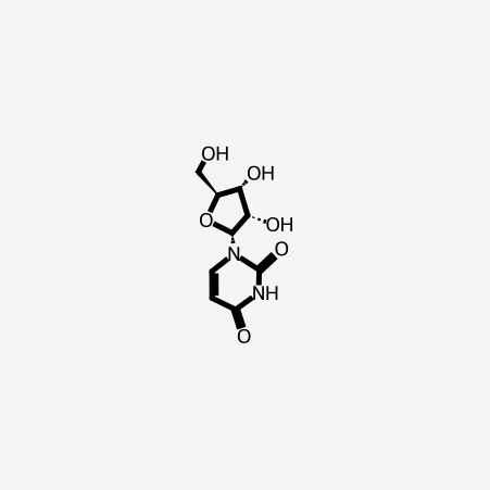 O=c1ccn([C@@H]2O[C@@H](CO)[C@H](O)[C@@H]2O)c(=O)[nH]1